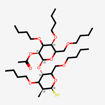 CCCCOCC1O[C@@H](S)[C@@H](C)C(OCCCC)[C@@H]1O[C@@H]1OC(COCCCC)[C@H](OCCCC)C(OCCCC)[C@@H]1OC(C)=O